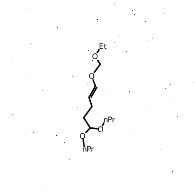 CCCOC(CCC=COCOCC)OCCC